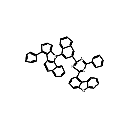 c1ccc(-c2nc(-c3cc(-n4c5cccc(-c6ccccc6)c5c5ccc6ccccc6c54)c4ccccc4c3)nc(-c3cccc4oc5ccccc5c34)n2)cc1